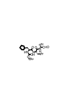 CCC[C@@H](C=O)NC(=O)[C@H](CC(C)C)NC(=O)[C@H](Cc1ccccc1)NC(=O)OC(C)(C)C